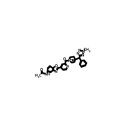 CC(=O)Nc1ccc2oc(-c3ccnc(C(=O)N4CC5CCC4CN5C(c4ccccc4)c4nnn(C)n4)c3)nc2c1